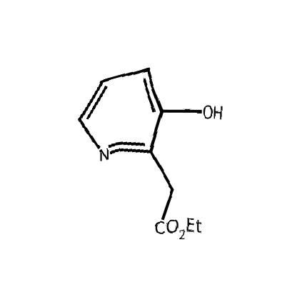 CCOC(=O)Cc1ncccc1O